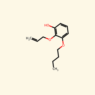 C=CCOc1c(O)cccc1OCCCC